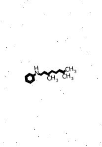 CC(C)=CCC/C(C)=C/CNc1ccccc1